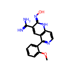 COc1ccccc1-c1nccc2[nH]c(=NO)c(C(=N)N)cc12